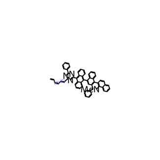 C=C/C=C\C=C\c1nc(-c2ccccc2)nc(-c2c3ccccc3c(-c3cc(Cc4ccccc4)c(-c4ccc5ccccc5c4NC)c4ccccc34)c3ccccc23)n1